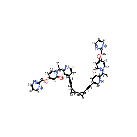 CC(c1ccc(C#CC2CC2C2CC2C#Cc2ccnc(C(C)n3ccc(OCc4ncccn4)cc3=O)c2)cn1)n1ccc(OCc2ncccn2)cc1=O